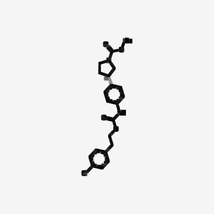 CC(C)(C)OC(=O)N1CC[C@@H](c2ccc(NC(=O)OCCc3ccc(Cl)cc3)cc2)C1